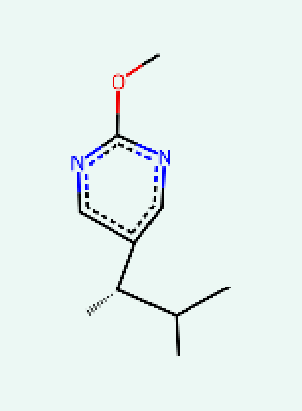 COc1ncc([C@@H](C)C(C)C)cn1